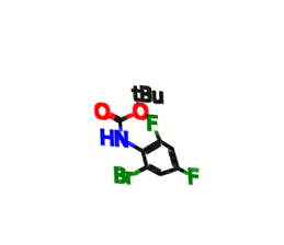 CC(C)(C)OC(=O)Nc1c(F)cc(F)cc1Br